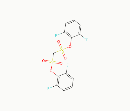 O=S(=O)(CS(=O)(=O)Oc1c(F)cccc1F)Oc1c(F)cccc1F